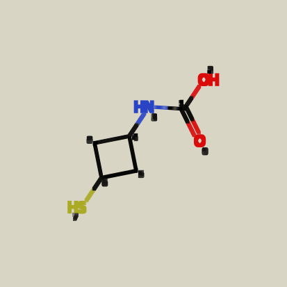 O=C(O)NC1CC(S)C1